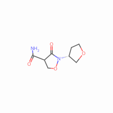 NC(=O)C1CON([C@@H]2CCOC2)C1=O